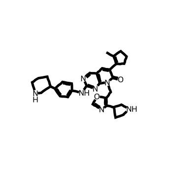 CC1=C(c2cc3cnc(Nc4ccc(C5CCCNC5)cc4)nc3n(Cc3ocnc3C3CCNC3)c2=O)CCC1